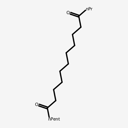 CCCCCC(=O)CCCCCCCCCC(=O)CCC